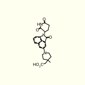 CC1(CC(=O)O)CCN(c2cc3c4c(cccc4c2)N(C2CCC(=O)NC2=O)C3=O)CC1